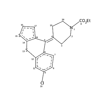 CCOC(=O)N1CCC(=C2c3ccc(Cl)cc3Sc3sccc32)CC1